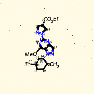 CCOC(=O)c1cnn(-c2nc(OC)c3c(cnn3[C@H]3C[C@H](C(C)C)CC[C@H]3C)n2)c1